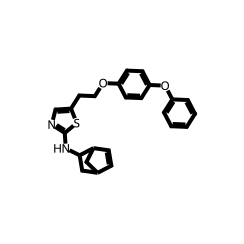 C1=CC2CC1CC2Nc1ncc(CCOc2ccc(Oc3ccccc3)cc2)s1